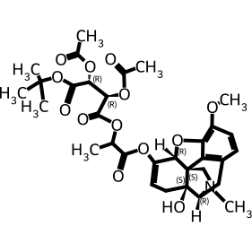 COc1ccc2c3c1O[C@H]1C(OC(=O)C(C)OC(=O)[C@H](OC(C)=O)[C@@H](OC(C)=O)C(=O)OC(C)(C)C)=CC[C@@]4(O)[C@@H](C2)N(C)CC[C@]314